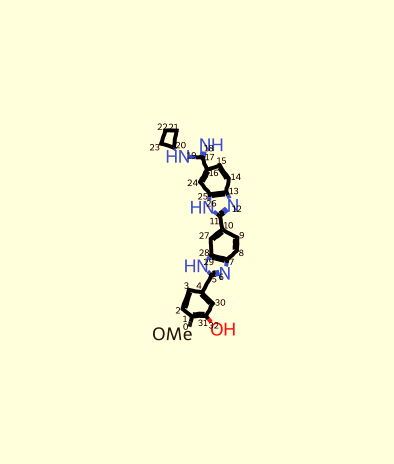 COc1ccc(-c2nc3ccc(-c4nc5ccc(C(=N)NC6CCC6)cc5[nH]4)cc3[nH]2)cc1O